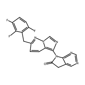 O=C1Cc2cncnc2N1c1ncn2nc(Cc3c(F)ccc(F)c3F)ccc12